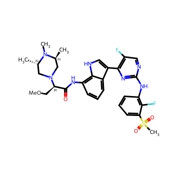 COC[C@H](C(=O)Nc1cccc2c(-c3nc(Nc4cccc(S(C)(=O)=O)c4F)ncc3F)c[nH]c12)N1C[C@H](C)N(C)[C@@H](C)C1